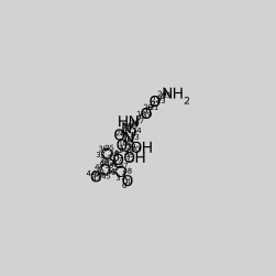 COc1ccc(C(OC[C@H]2O[C@@H](n3ccc(NCCOCCOCCN)nc3=O)C(O)C2O)(c2ccccc2)c2ccc(OC)cc2)cc1